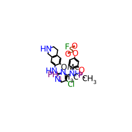 COc1cc2c(cc1Nc1ncc(Cl)c(Nc3ccc(OS(=O)(=O)F)cc3OP(C)C)n1)CNCC2.P